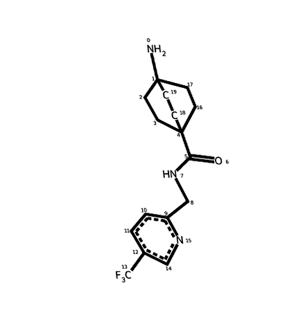 NC12CCC(C(=O)NCc3ccc(C(F)(F)F)cn3)(CC1)CC2